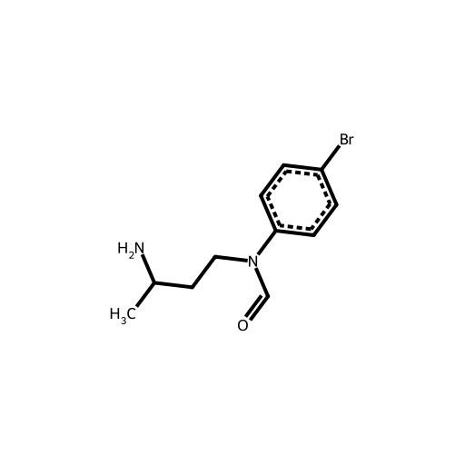 CC(N)CCN(C=O)c1ccc(Br)cc1